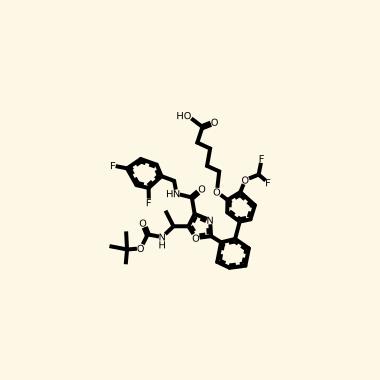 CC(NC(=O)OC(C)(C)C)c1oc(-c2ccccc2-c2ccc(OC(F)F)c(OCCCCC(=O)O)c2)nc1C(=O)NCc1ccc(F)cc1F